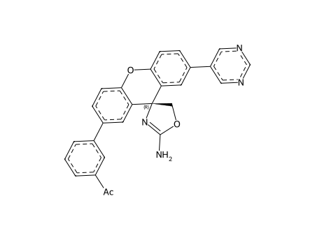 CC(=O)c1cccc(-c2ccc3c(c2)[C@]2(COC(N)=N2)c2cc(-c4cncnc4)ccc2O3)c1